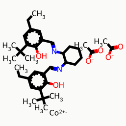 CC(=O)[O-].CC(=O)[O-].CCc1cc(C=NC2CCCCC2N=Cc2cc(CC)cc(C(C)(C)C)c2O)c(O)c(C(C)(C)C)c1.[Co+2]